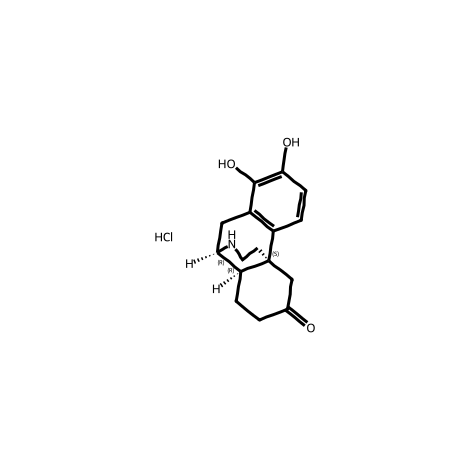 Cl.O=C1CC[C@H]2[C@H]3Cc4c(ccc(O)c4O)[C@@]2(CCN3)C1